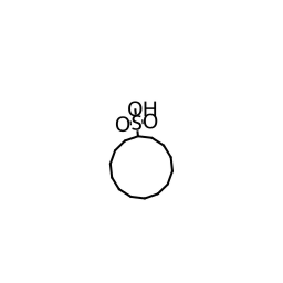 O=S(=O)(O)C1CCCCCCCCCCCCC1